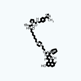 C#Cc1c(F)ccc2cc(O)cc(-c3ncc4c(N5CC6CCC(C5)N6)nc(OCCCN5CCN(CCCCCCCC(=O)NC(C(=O)N6CCC[C@H]6C(=O)NCc6ccc(-c7scnc7C)cc6)C(C)(C)C)CC5)nc4c3F)c12